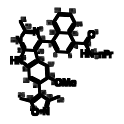 CCCNC(=O)c1ccc(-c2nc(C)nc3[nH]c4cc(-c5c(C)noc5C)c(OC)cc4c23)c2ccccc12